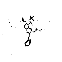 C=CC[C@H]1CCCC(CN(C(=O)OCc2ccccc2)[C@@H](C)C(=O)OC)N1C(=O)OC(C)(C)C